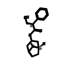 CN1C2CC[C@@H]1CC(OC(=O)[C@@H](CO)c1ccccc1)C2